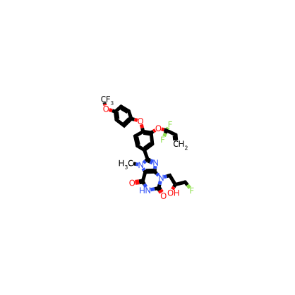 C=CC(F)(F)Oc1cc(-c2nc3c(c(=O)[nH]c(=O)n3CC(O)CF)n2C)ccc1Oc1ccc(OC(F)(F)F)cc1